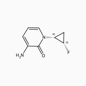 Nc1cccn([C@@H]2C[C@@H]2F)c1=O